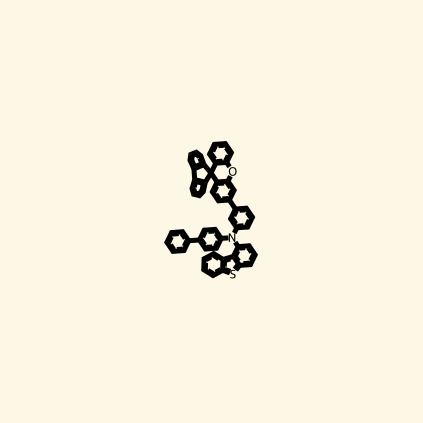 c1ccc(-c2ccc(N(c3cccc(-c4ccc5c(c4)Oc4ccccc4C54c5ccccc5-c5ccccc54)c3)c3cccc4sc5ccccc5c34)cc2)cc1